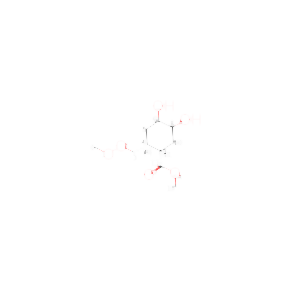 COOC[C@@H]1CC(O)C(O)C[C@@H]1C(=O)OC